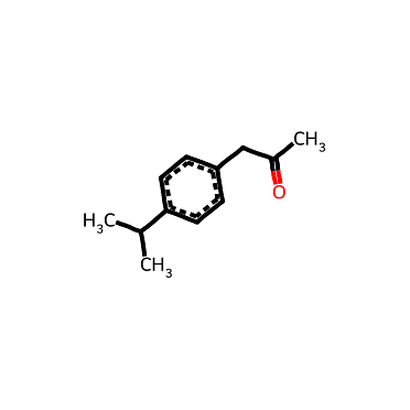 CC(=O)Cc1ccc(C(C)C)cc1